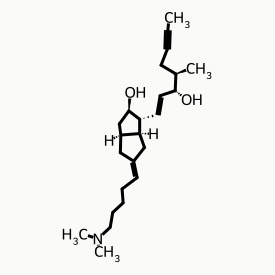 CC#CC[C@@H](C)[C@H](O)/C=C/[C@@H]1[C@H]2C/C(=C/CCCCN(C)C)C[C@H]2C[C@H]1O